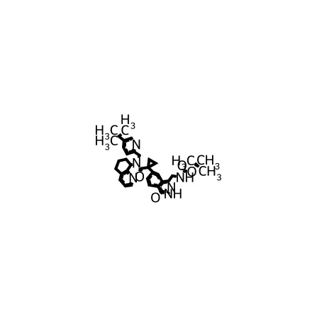 CC(C)(C)OC(=O)NCc1n[nH]c(=O)c2ccc(C3(C(=O)N(Cc4ccc(C(C)(C)C)cn4)C4CCCc5cccnc54)CC3)cc12